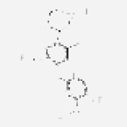 CCNc1nc(Nc2cc(F)c(C3CN(C=O)CCO3)cc2OCC)ncc1C(F)(F)F